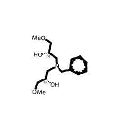 COC[C@@H](O)CN(Cc1ccccc1)C[C@H](O)COC